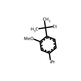 CCC(C)(C)c1ccc(C(C)C)cc1OC